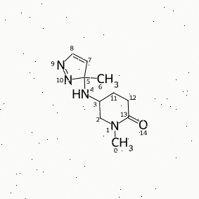 CN1CC(NC2(C)C=CN=N2)CCC1=O